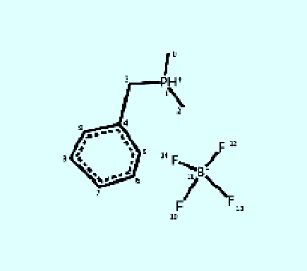 C[PH+](C)Cc1ccccc1.F[B-](F)(F)F